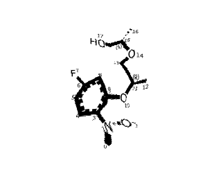 C=[N+]([O-])c1ccc(F)cc1O[C@H](C)CO[C@@H](C)O